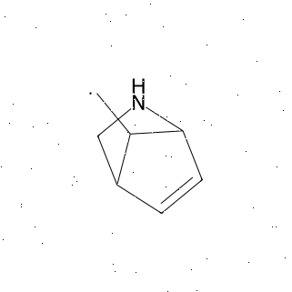 [CH2]C1C2C=CC1NC2